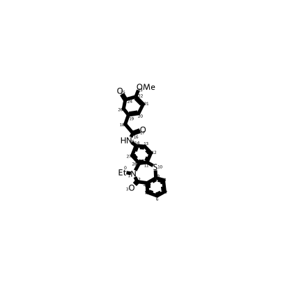 CCN1C(=O)c2ccccc2Sc2ccc(NC(=O)CC3=CC=C(OC)C(=O)C3)cc21